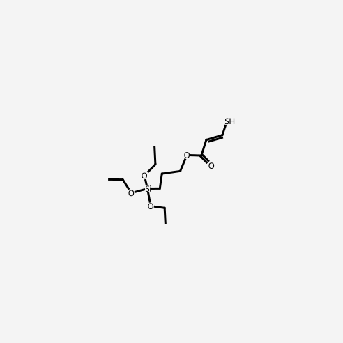 CCO[Si](CCCOC(=O)C=CS)(OCC)OCC